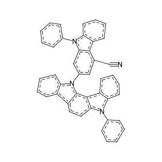 N#Cc1cc(-n2c3ccccc3c3ccc4c(c5ccccc5n4-c4ccccc4)c32)cc2c1c1ccccc1n2-c1ccccc1